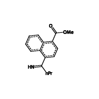 CCCC(=N)c1ccc(C(=O)OC)c2ccccc12